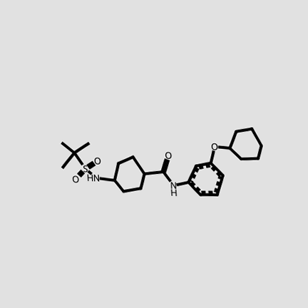 CC(C)(C)S(=O)(=O)NC1CCC(C(=O)Nc2cccc(OC3CCCCC3)c2)CC1